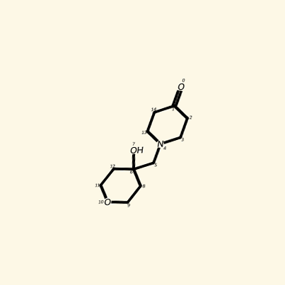 O=C1CCN(CC2(O)CCOCC2)CC1